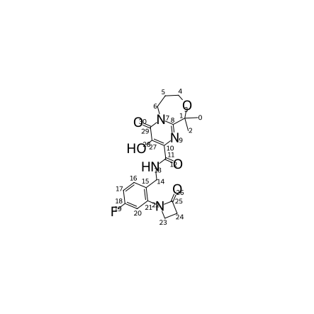 CC1(C)OCCCn2c1nc(C(=O)NCc1ccc(F)cc1N1CCC1=O)c(O)c2=O